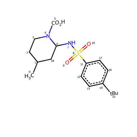 CC1CCN(C(=O)O)C(NS(=O)(=O)c2ccc(C(C)(C)C)cc2)C1